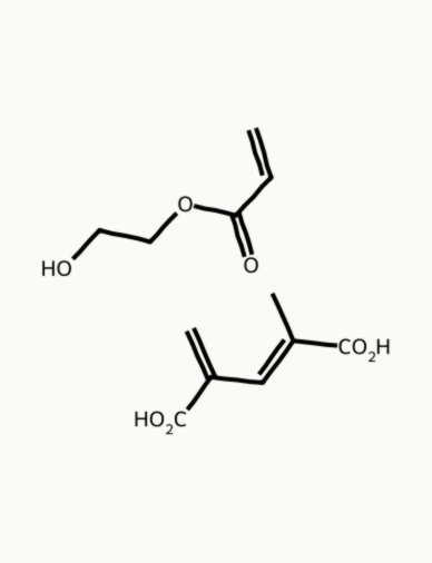 C=C(C=C(C)C(=O)O)C(=O)O.C=CC(=O)OCCO